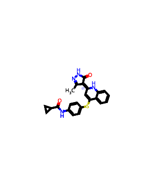 CC1=NNC(=O)/C1=C1/C=C(Sc2ccc(NC(=O)C3CC3)cc2)c2ccccc2N1